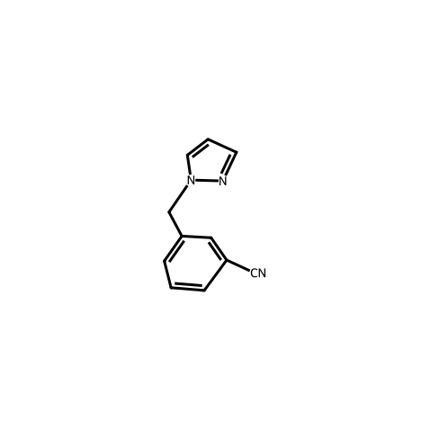 N#Cc1cccc(Cn2cccn2)c1